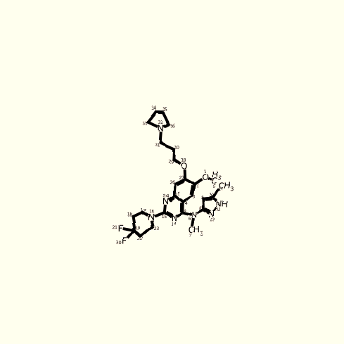 COc1cc2c(N(C)c3cc(C)[nH]n3)nc(N3CCC(F)(F)CC3)nc2cc1OCCCN1CCCC1